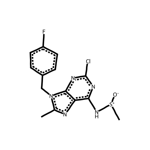 Cc1nc2c(N[S+](C)[O-])nc(Cl)nc2n1Cc1ccc(F)cc1